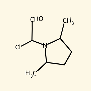 CC1CCC(C)N1C(Cl)C=O